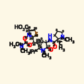 CCC(C)C(NC(=O)[C@@]1(C)CCCN1C)C(=O)N(C)C(CC(OC(=O)N(C)C)c1nc(C(=O)O)cs1)C(C)C